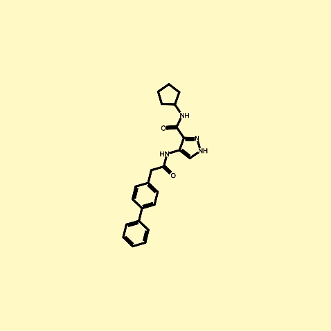 O=C(Cc1ccc(-c2ccccc2)cc1)Nc1c[nH]nc1C(=O)NC1CCCC1